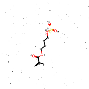 C=C(C)C(=O)OCCCCO[SH](=O)=O